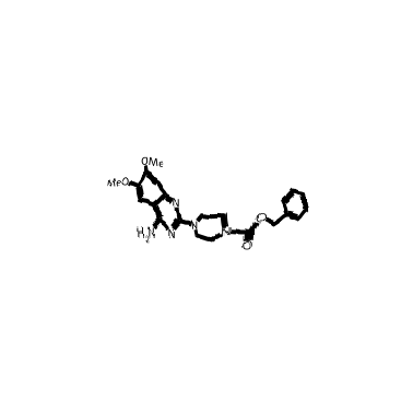 COc1cc2nc(N3CCN(C(=O)OCc4ccccc4)CC3)nc(N)c2cc1OC